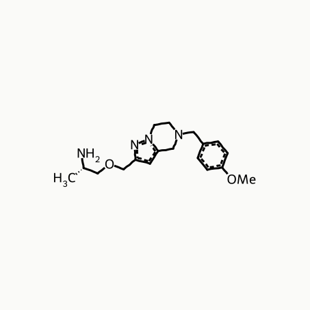 COc1ccc(CN2CCn3nc(COC[C@H](C)N)cc3C2)cc1